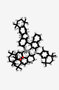 Cc1cc2c(cc1N1C3=C(Bc4c1cc1ccccc1c4-c1c(Nc4ccc5c(c4)C(C)(C)CCC5(C)C)ccc4c1sc1cc5c(cc14)C(C)(C)CCC5(C)C)c1cc4c(cc1SC3)C(C)(C)CCC4(C)C)C(C)(C)CCC2(C)C